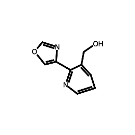 OCc1cccnc1-c1cocn1